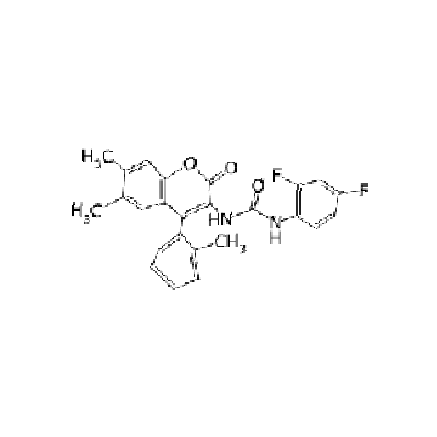 Cc1cc2oc(=O)c(NC(=O)Nc3ccc(F)cc3F)c(-c3ccccc3C)c2cc1C